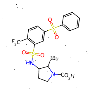 CC(C)(C)C1C(NS(=O)(=O)c2cc(S(=O)(=O)c3ccccc3)ccc2C(F)(F)F)CCN1C(=O)O